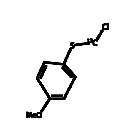 COc1ccc(S[13CH2]Cl)cc1